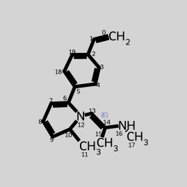 C=Cc1ccc(C2=CC=CC(C)N2/C=C(\C)NC)cc1